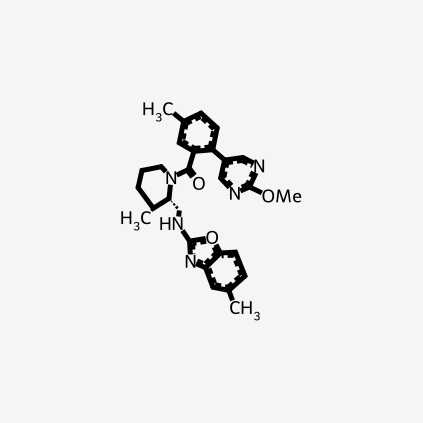 COc1ncc(-c2ccc(C)cc2C(=O)N2CCC[C@@H](C)[C@H]2CNc2nc3cc(C)ccc3o2)cn1